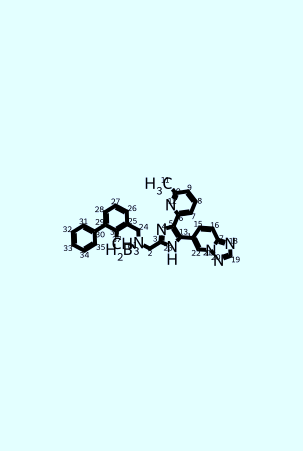 BN(Cc1nc(-c2cccc(C)n2)c(-c2ccc3ncnn3c2)[nH]1)Cc1cccc(-c2ccccc2)c1C